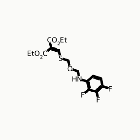 CCOC(=O)C(=CSCOCNc1ccc(F)c(F)c1F)C(=O)OCC